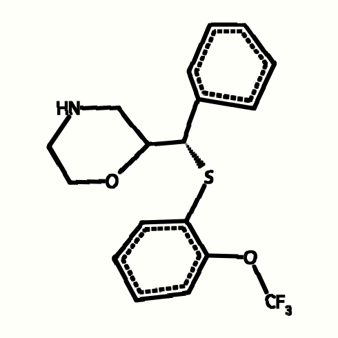 FC(F)(F)Oc1ccccc1S[C@@H](c1ccccc1)C1CNCCO1